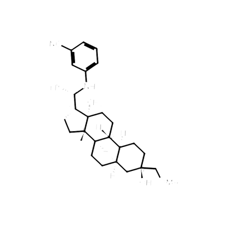 CCC[C@H](Nc1cccc(C#N)c1)[C@H]1CC[C@H]2[C@@H]3CC[C@@H]4C[C@@](O)(COC)CC[C@@H]4[C@H]3CC[C@]12C